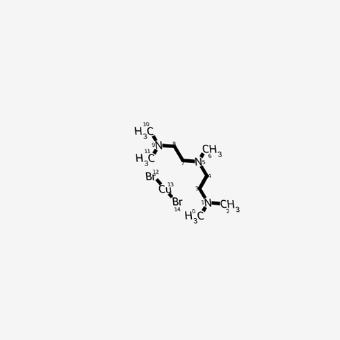 CN(C)CCN(C)CCN(C)C.[Br][Cu][Br]